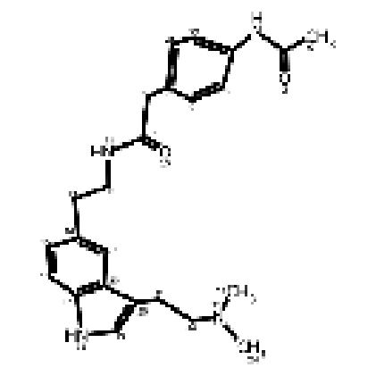 CC(=O)Nc1ccc(CC(=O)NCCc2ccc3[nH]cc(CCN(C)C)c3c2)cc1